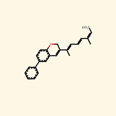 CCOC(=O)\C=C(C)/C=C/C=C(\C)C1=Cc2cc(-c3ccccc3)ccc2OC1